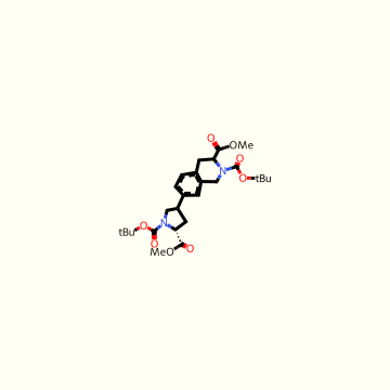 COC(=O)C1Cc2ccc(C3C[C@H](C(=O)OC)N(C(=O)OC(C)(C)C)C3)cc2CN1C(=O)OC(C)(C)C